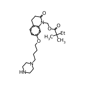 CCC(C)(C)C(=O)OCN1C(=O)CCc2ccc(OCCCCN3CCNCC3)cc21